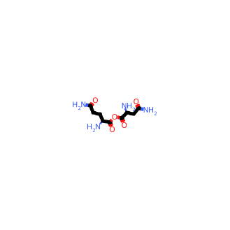 NC(=O)CC[C@H](N)C(=O)OC(=O)[C@@H](N)CC(N)=O